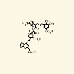 Nc1nc(/C(=N/OCc2cc(C(=O)O)cc(O)c2O)C(=O)N[C@@H]2C(=O)N3C(C(=O)O)=C(CSc4cc(CC(=O)O)nc5ncnn45)CS[C@H]23)cs1